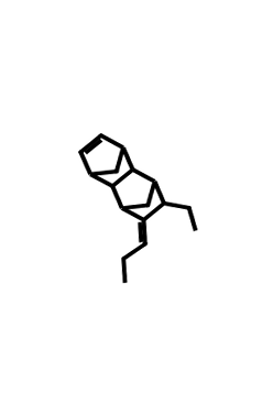 CCC=C1C(CC)C2CC1C1C3C=CC(C3)C21